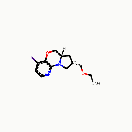 COCOC[C@H]1C[C@H]2COc3c(I)ccnc3N2C1